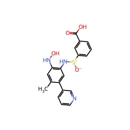 Cc1cc(NO)c(N[S+]([O-])c2cccc(C(=O)O)c2)cc1-c1cccnc1